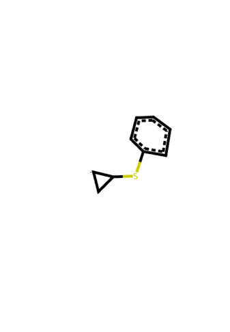 [CH]1CC1Sc1ccccc1